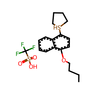 CCCCOc1ccc([SH]2CCCC2)c2ccccc12.O=S(=O)(O)C(F)(F)F